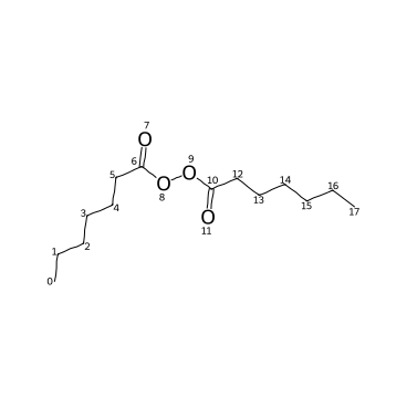 CCCCCCC(=O)OOC(=O)CCCCCC